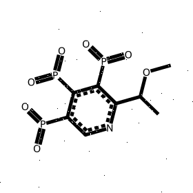 COC(C)c1ncc(P(=O)=O)c(P(=O)=O)c1P(=O)=O